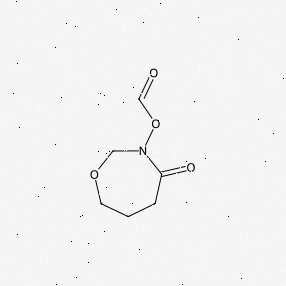 O=CON1COCCCC1=O